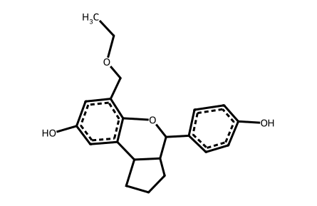 CCOCc1cc(O)cc2c1OC(c1ccc(O)cc1)C1CCCC21